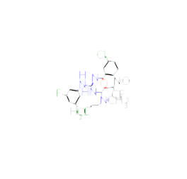 C=CCN(C)C(CC(N=O)C(F)(F)F)N/C(=N\C(=O)c1cccc(Cl)c1)Nc1cc(F)cc(Cl)c1